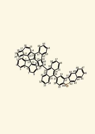 c1ccc2c(c1)-c1ccccc1C21c2c(ccc3ccccc23)-c2c1c1ccc(-c3c4ccccc4c(-c4ccc5sc6cc7ccccc7cc6c5c4)c4ccccc34)cc1c1ccccc21